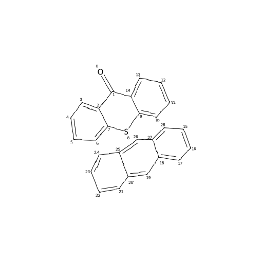 O=c1c2ccccc2sc2ccccc12.c1ccc2cc3ccccc3cc2c1